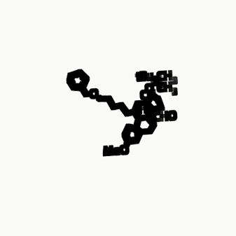 COc1ccc2c(c1)CCC1(C=O)C2=C(CCCCCOCc2ccccc2)C[C@]2(C)[C@@H](O[Si](C)(C)C(C)(C)C)CC[C@@H]12